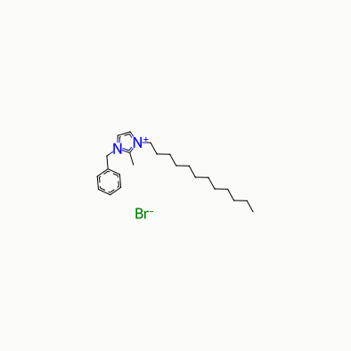 CCCCCCCCCCCC[n+]1ccn(Cc2ccccc2)c1C.[Br-]